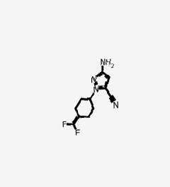 N#Cc1cc(N)nn1C1CCC(=C(F)F)CC1